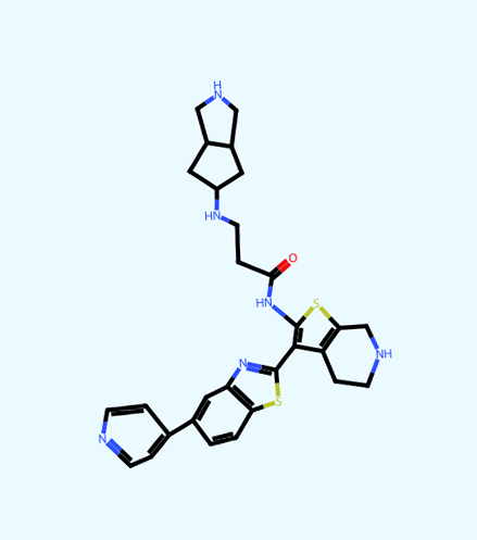 O=C(CCNC1CC2CNCC2C1)Nc1sc2c(c1-c1nc3cc(-c4ccncc4)ccc3s1)CCNC2